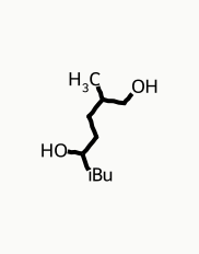 CCC(C)C(O)CCC(C)CO